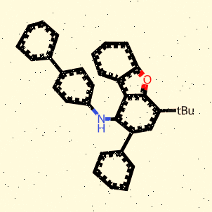 CC(C)(C)c1cc(-c2ccccc2)c(Nc2ccc(-c3ccccc3)cc2)c2c1oc1ccccc12